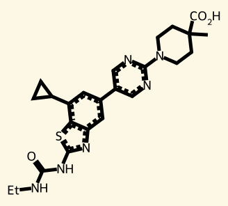 CCNC(=O)Nc1nc2cc(-c3cnc(N4CCC(C)(C(=O)O)CC4)nc3)cc(C3CC3)c2s1